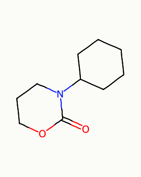 O=C1OCCCN1C1CCCCC1